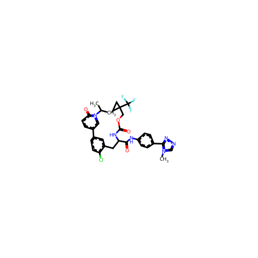 CC(C)n1cc(-c2ccc(Cl)c(CC(NC(=O)OCC3(C(F)(F)F)CC3)C(=O)Nc3ccc(-c4nncn4C)cc3)c2)ccc1=O